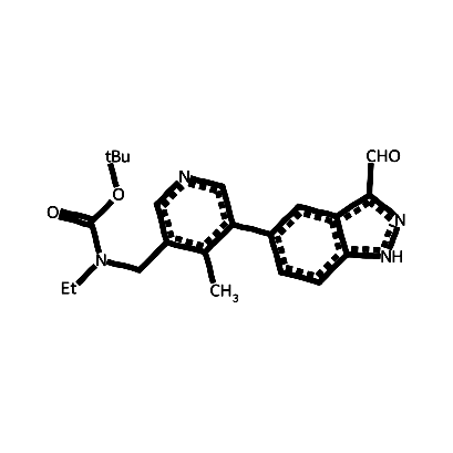 CCN(Cc1cncc(-c2ccc3[nH]nc(C=O)c3c2)c1C)C(=O)OC(C)(C)C